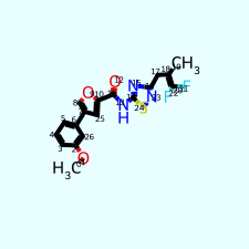 COc1cccc(-c2coc(C(=O)Nc3nc(CC(C)=C(F)F)ns3)c2)c1